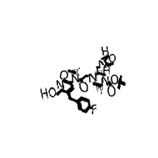 C[C@@H]1CN(CC(=O)N2c3cc(Cc4ccc(F)cc4)c(CO)nc3OC[C@@H]2C)[C@@H](CN2C[C@@H]3C[C@H]2CO3)CN1C(=O)OC(C)(C)C